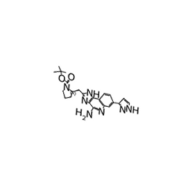 CC(C)(C)OC(=O)N1CCC[C@@H]1Cc1nc2c(N)nc3cc(-c4cc[nH]n4)ccc3c2[nH]1